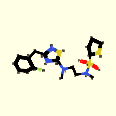 CN(CCN(C)S(=O)(=O)c1cccs1)c1nc(Cc2ccccc2F)ns1